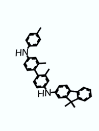 Cc1ccc(Nc2ccc(-c3ccc(Nc4ccc5c(c4)C(C)(C)c4ccccc4-5)cc3C)c(C)c2)cc1